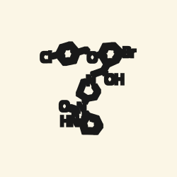 O=c1[nH]c2ccccc2n1C1CCN(CC(O)c2cc(Br)ccc2OCc2ccc(Cl)cc2)CC1